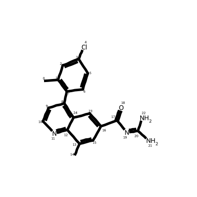 Cc1cc(Cl)ccc1-c1ccnc2c(C)cc(C(=O)N=C(N)N)cc12